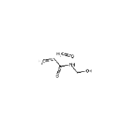 C=CC(=O)NCO.C=O